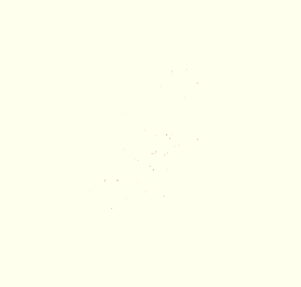 CCC1=CC(N2C(=O)OCC2Cc2ccccc2)C(CC)(N2C(=O)OCC2Cc2ccccc2)C=C1